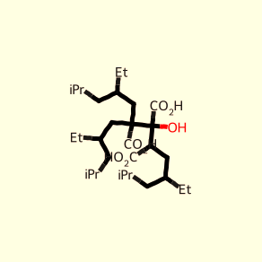 CCC(CC(C)C)CC(C(=O)O)C(O)(C(=O)O)C(CC(CC)CC(C)C)(CC(CC)CC(C)C)C(=O)O